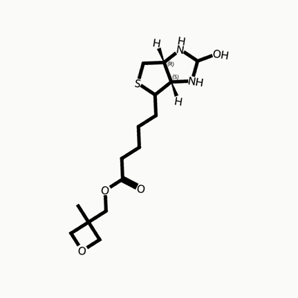 CC1(COC(=O)CCCCC2SC[C@@H]3NC(O)N[C@H]23)COC1